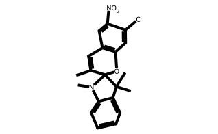 CC1=Cc2cc([N+](=O)[O-])c(Cl)cc2OC12N(C)c1ccccc1C2(C)C